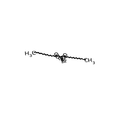 CCCCCCCCCCCCCCCC(=O)OCC(COC(=O)CCCCCCCCCCCCCCC)OC(=O)CBr